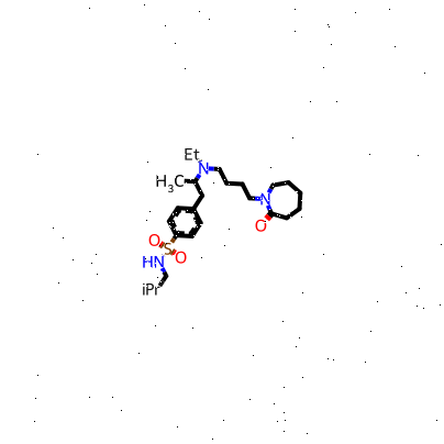 CCN(CCCCN1CCCCCC1=O)C(C)Cc1ccc(S(=O)(=O)NCC(C)C)cc1